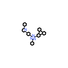 c1ccc(-c2cccc(-c3ccc(-c4nc(-c5ccccc5)nc(-c5ccc6c7ccccc7c7ccccc7c6c5)n4)cc3)n2)cc1